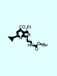 CCOC(=O)c1cc(C2CC2)nc2c1cnn2CCNC(=O)OC(C)(C)C